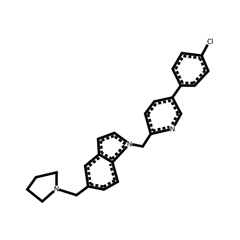 Clc1ccc(-c2ccc(Cn3ccc4cc(CN5CCCC5)ccc43)nc2)cc1